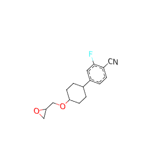 N#Cc1ccc(C2CCC(OCC3CO3)CC2)cc1F